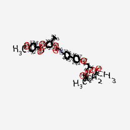 C=C(C)C(=O)OCC(CCOc1ccc(-c2ccc(/C=C/C(=O)Oc3ccc(OC(=O)c4ccc(OC)cc4)cc3C3CC3)cc2)cc1)COC(=O)C(=C)C